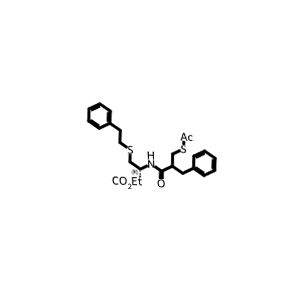 CCOC(=O)[C@H](CSCCc1ccccc1)NC(=O)C(CSC(C)=O)Cc1ccccc1